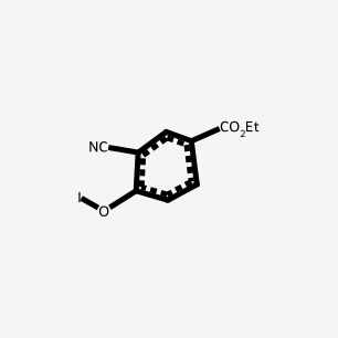 CCOC(=O)c1ccc(OI)c(C#N)c1